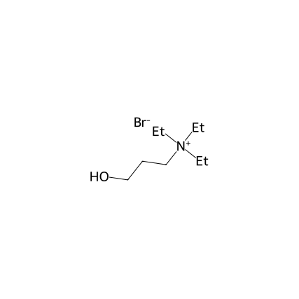 CC[N+](CC)(CC)CCCO.[Br-]